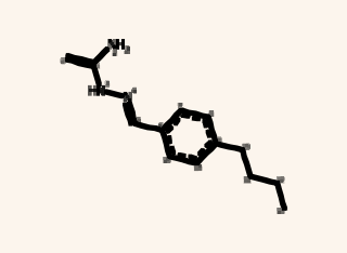 C=C(N)N/N=C/c1ccc(CCCC)cc1